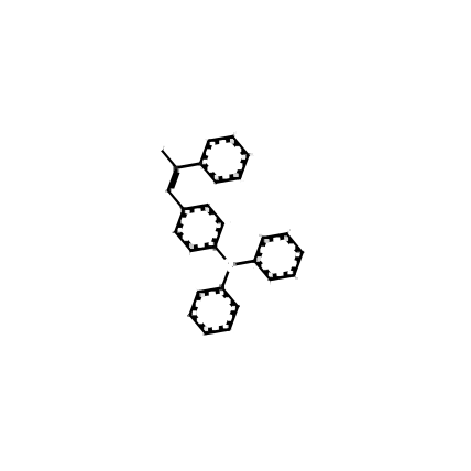 CC(=Cc1ccc(N(c2ccccc2)c2ccccc2)cc1)c1ccccc1